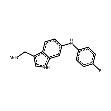 CNCc1c[nH]c2cc(Nc3ccc(F)cc3)ccc12